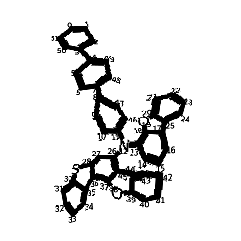 c1ccc(-c2ccc(-c3ccc(N(c4cccc5c4oc4ccccc45)c4cc5sc6ccccc6c5c5oc6ccccc6c45)cc3)cc2)cc1